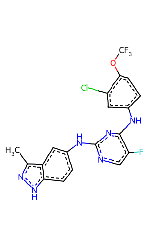 Cc1n[nH]c2ccc(Nc3ncc(F)c(Nc4ccc(OC(F)(F)F)c(Cl)c4)n3)cc12